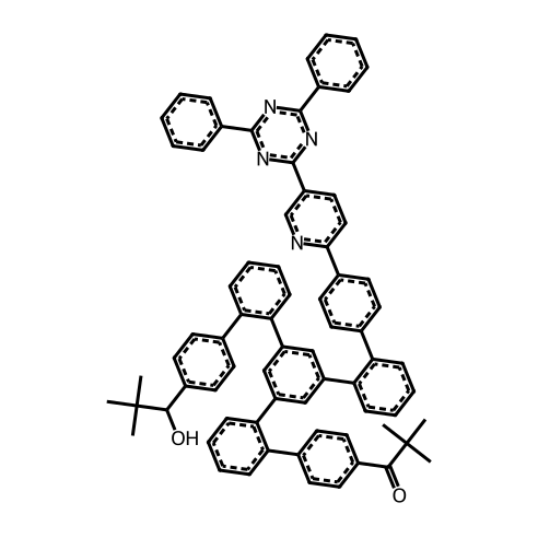 CC(C)(C)C(=O)c1ccc(-c2ccccc2-c2cc(-c3ccccc3-c3ccc(-c4ccc(-c5nc(-c6ccccc6)nc(-c6ccccc6)n5)cn4)cc3)cc(-c3ccccc3-c3ccc(C(O)C(C)(C)C)cc3)c2)cc1